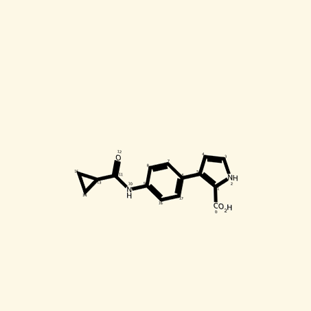 O=C(O)c1[nH]ccc1-c1ccc(NC(=O)C2CC2)cc1